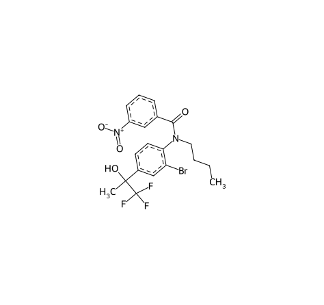 CCCCN(C(=O)c1cccc([N+](=O)[O-])c1)c1ccc(C(C)(O)C(F)(F)F)cc1Br